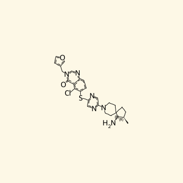 C[C@@H]1CCC2(CCN(c3cnc(Sc4ccc5ncn(Cc6ccoc6)c(=O)c5c4Cl)cn3)CC2)[C@@H]1N